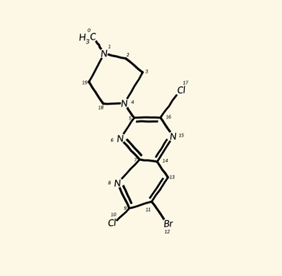 CN1CCN(c2nc3nc(Cl)c(Br)cc3nc2Cl)CC1